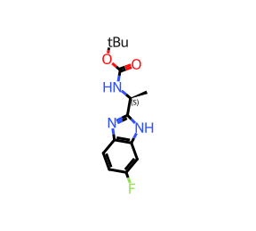 C[C@H](NC(=O)OC(C)(C)C)c1nc2ccc(F)cc2[nH]1